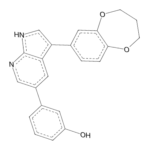 Oc1cccc(-c2cnc3[nH]cc(-c4ccc5c(c4)OCCCO5)c3c2)c1